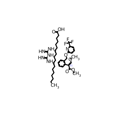 CCCCCCCCCCCCCCCCCC(=O)O.CO/C=C(/C(=O)OC)c1ccccc1COc1cccc(C(F)(F)F)n1.N=C(N)NC(=N)N